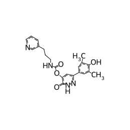 Cc1cc(-c2cc(OC(=O)NCCCc3cccnc3)c(=O)[nH]n2)cc(C)c1O